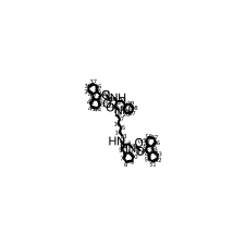 O=C(NCC(Cc1ccccc1)NCCCCCCNC(=O)C(Cc1ccccc1)NC(=O)OC1c2ccccc2-c2ccccc21)OC1c2ccccc2-c2ccccc21